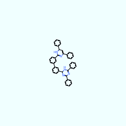 C1=C(c2ccccc2)N=C(c2cccc(-c3cccc(C4N=C(c5ccccc5)N=C(c5ccccc5)N4)c3)c2)NC1c1ccccc1